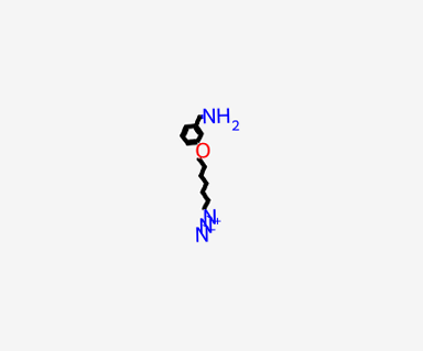 [N-]=[N+]=NCCCCCCCOc1cccc(CN)c1